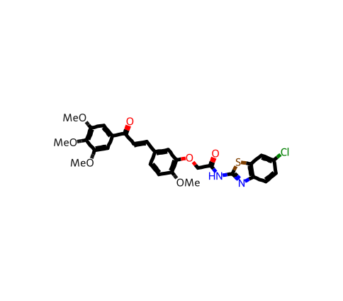 COc1ccc(/C=C/C(=O)c2cc(OC)c(OC)c(OC)c2)cc1OCC(=O)Nc1nc2ccc(Cl)cc2s1